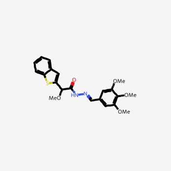 COc1cc(C=NNC(=O)C(OC)c2cc3ccccc3s2)cc(OC)c1OC